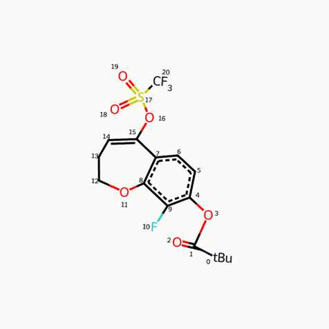 CC(C)(C)C(=O)Oc1ccc2c(c1F)OCCC=C2OS(=O)(=O)C(F)(F)F